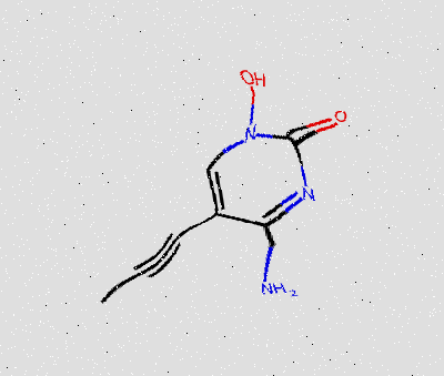 CC#Cc1cn(O)c(=O)nc1N